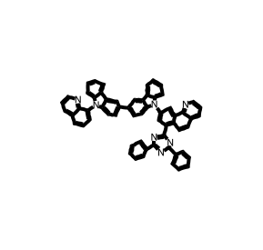 c1ccc(-c2nc(-c3ccccc3)nc(-c3cc(-n4c5ccccc5c5cc(-c6ccc7c(c6)c6ccccc6n7-c6cccc7cccnc67)ccc54)cc4c3ccc3cccnc34)n2)cc1